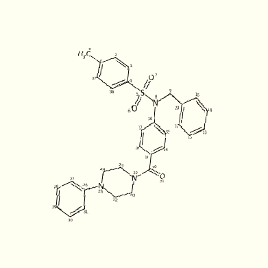 Cc1ccc(S(=O)(=O)N(Cc2ccccc2)c2ccc(C(=O)N3CCN(c4ccccc4)CC3)cc2)cc1